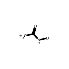 [CH2]C(=O)NCC